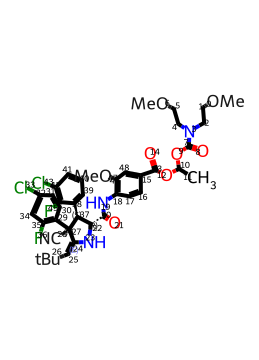 COCCN(CCOC)C(=O)OC(C)OC(=O)c1ccc(NC(=O)[C@@H]2N/C(=C/C(C)(C)C)[C@](C#N)(c3ccc(Cl)cc3F)[C@H]2c2cccc(Cl)c2F)c(OC)c1